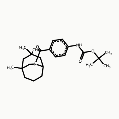 CC1(C)CC2CCCC(C)(CN2C(=O)c2ccc(NC(=O)OC(C)(C)C)cc2)C1